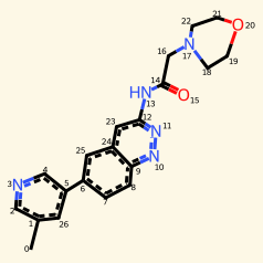 Cc1cncc(-c2ccc3nnc(NC(=O)CN4CCOCC4)cc3c2)c1